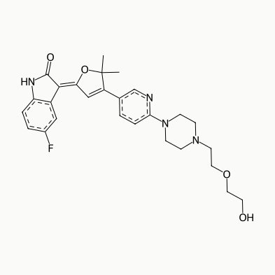 CC1(C)OC(=C2C(=O)Nc3ccc(F)cc32)C=C1c1ccc(N2CCN(CCOCCO)CC2)nc1